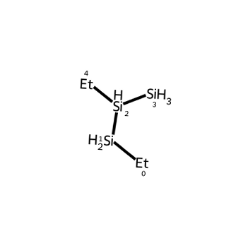 CC[SiH2][SiH]([SiH3])CC